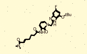 CN(C)C(=O)/C=C/CCCC(=O)Nc1cccn(Cc2nc3cc(F)cc(OC(C)(C)C)c3[nH]2)c1=O